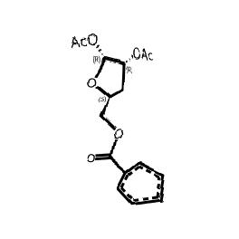 CC(=O)O[C@H]1O[C@H](COC(=O)c2ccccc2)C[C@H]1OC(C)=O